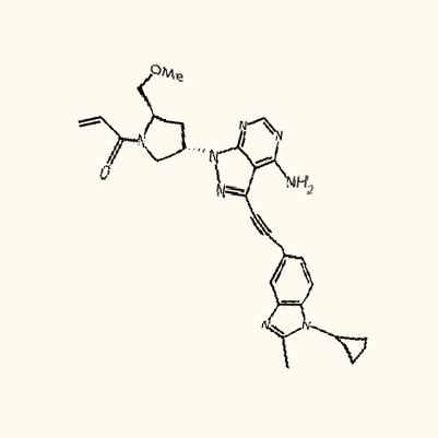 C=CC(=O)N1C[C@@H](n2nc(C#Cc3ccc4c(c3)nc(C)n4C3CC3)c3c(N)ncnc32)C[C@@H]1COC